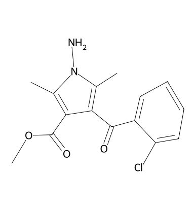 COC(=O)c1c(C(=O)c2ccccc2Cl)c(C)n(N)c1C